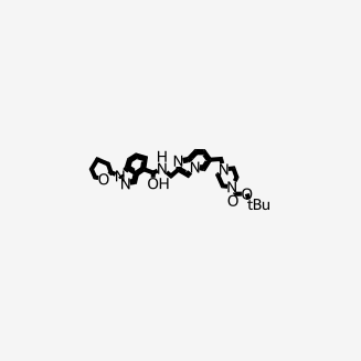 CC(C)(C)OC(=O)N1CCN(Cc2ccc3nc(CNC(O)c4cccc5c4cnn5C4CCCCO4)cn3c2)CC1